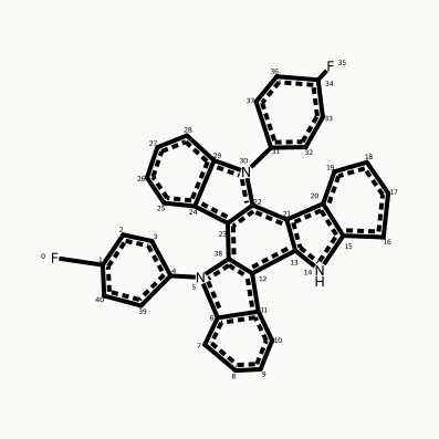 Fc1ccc(-n2c3ccccc3c3c4[nH]c5ccccc5c4c4c(c5ccccc5n4-c4ccc(F)cc4)c32)cc1